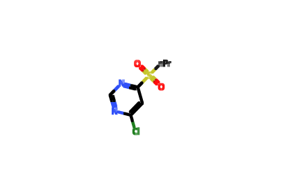 CCCS(=O)(=O)c1cc(Cl)ncn1